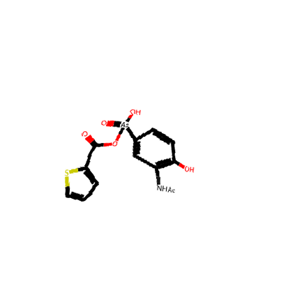 CC(=O)Nc1cc([As](=O)(O)OC(=O)c2cccs2)ccc1O